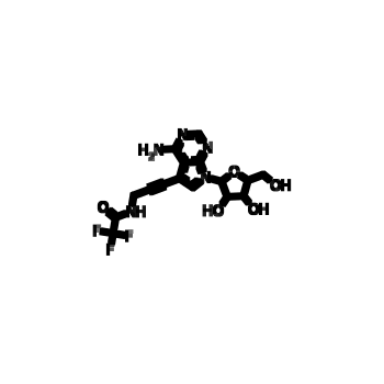 Nc1ncnc2c1c(C#CCNC(=O)C(F)(F)F)cn2C1OC(CO)C(O)C1O